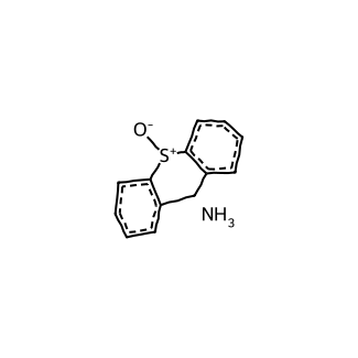 N.[O-][S+]1c2ccccc2Cc2ccccc21